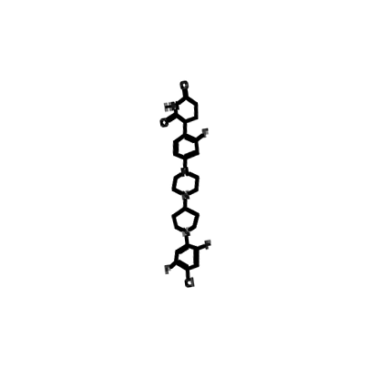 O=C1CCC(c2ccc(N3CCN(C4CCN(c5cc(F)c(Cl)cc5F)CC4)CC3)cc2F)C(=O)N1